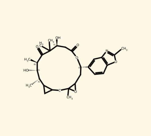 Cc1nc2cc([C@@H]3CC4OC4(C)CC4CC4[C@H](C)[C@H](O)[C@@H](C)C(=O)C(C)(C)[C@@H](O)CC(=O)O3)ccc2o1